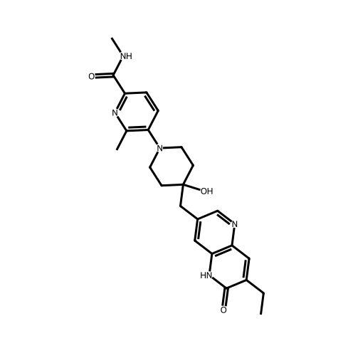 CCc1cc2ncc(CC3(O)CCN(c4ccc(C(=O)NC)nc4C)CC3)cc2[nH]c1=O